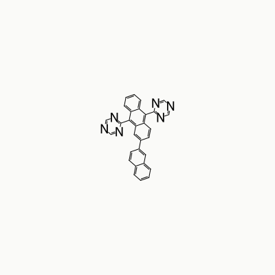 c1ccc2cc(-c3ccc4c(-c5ncncn5)c5ccccc5c(-c5ncncn5)c4c3)ccc2c1